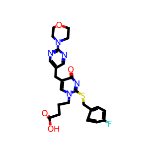 O=C(O)CCCn1cc(Cc2cnc(N3CCOCC3)nc2)c(=O)nc1SCc1ccc(F)cc1